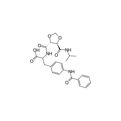 CC(C)NC(=O)[C@@H]1OCO[C@H]1C(=O)NC(Cc1ccc(NC(=O)c2ccccc2)cc1)C(=O)O